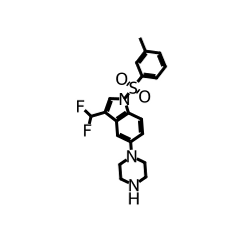 Cc1cccc(S(=O)(=O)n2cc(C(F)F)c3cc(N4CCNCC4)ccc32)c1